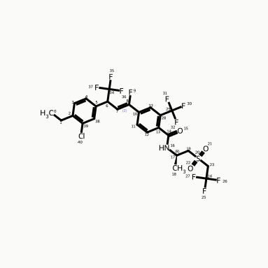 CCc1ccc(C(/C=C(\F)c2ccc(C(=O)N[C@H](C)CS(=O)(=O)CC(F)(F)F)c(C(F)(F)F)c2)C(F)(F)F)cc1Cl